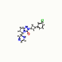 O=c1n(C2CC(c3cccc(Cl)c3)C2)nc2n1C(c1cnccn1)CC2